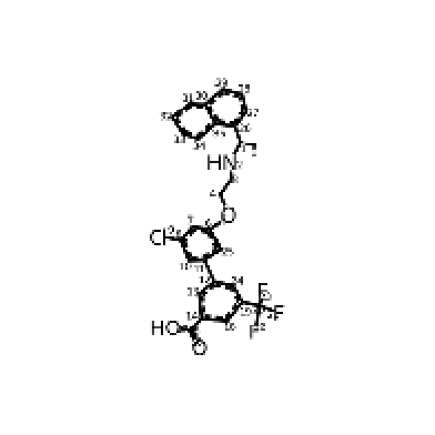 C[C@@H](NCCOc1cc(Cl)cc(-c2cc(C(=O)O)cc(C(F)(F)F)c2)c1)c1cccc2ccccc12